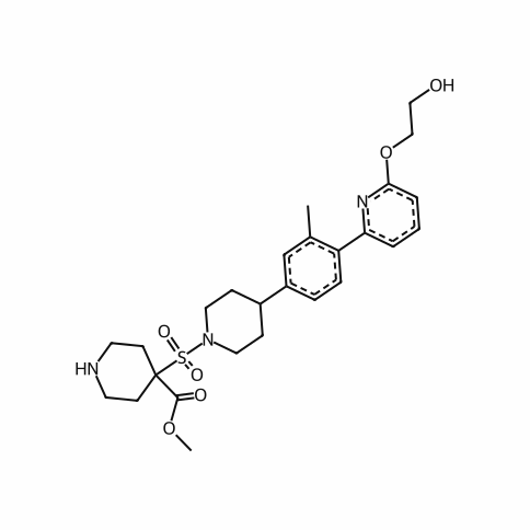 COC(=O)C1(S(=O)(=O)N2CCC(c3ccc(-c4cccc(OCCO)n4)c(C)c3)CC2)CCNCC1